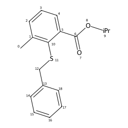 Cc1cccc(C(=O)OC(C)C)c1SCc1ccccc1